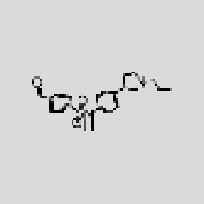 CCCN1CCC(c2ccc(NS(=O)(=O)c3ccc(C=O)cc3)cc2)C1